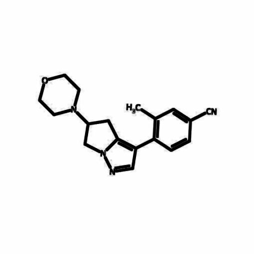 Cc1cc(C#N)ccc1-c1cnn2c1CC(N1CCOCC1)C2